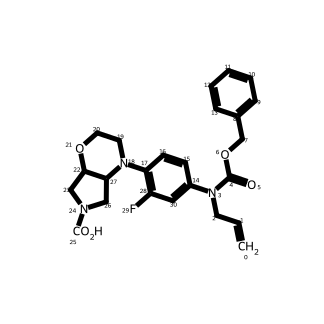 C=CCN(C(=O)OCc1ccccc1)c1ccc(N2CCOC3CN(C(=O)O)CC32)c(F)c1